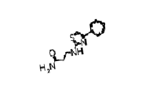 NC(=O)CCNc1nc(-c2ccccc2)cs1